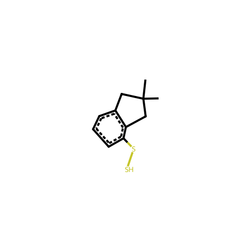 CC1(C)Cc2cccc(SS)c2C1